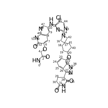 CNC(=O)COc1cc2cc(Nc3nc(N4CC5(CCC(Oc6cccc7c(C8CCC(=O)NC8=O)nn(C)c67)CC5)C4)ncc3Cl)cnc2n(C)c1=O